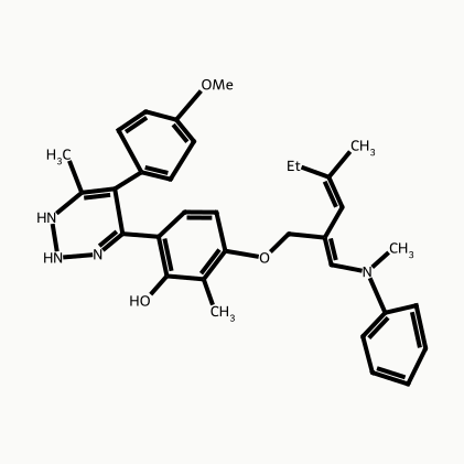 CC/C(C)=C\C(=C/N(C)c1ccccc1)COc1ccc(C2=NNNC(C)=C2c2ccc(OC)cc2)c(O)c1C